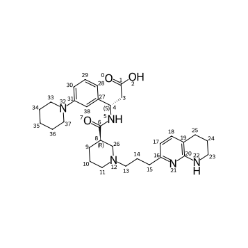 O=C(O)C[C@H](NC(=O)[C@@H]1CCCN(CCCc2ccc3c(n2)NCCC3)C1)c1cccc(N2CCCCC2)c1